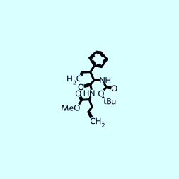 C=CCC(NC(=O)C(NC(=O)OC(C)(C)C)C(C=C)c1ccccc1)C(=O)OC